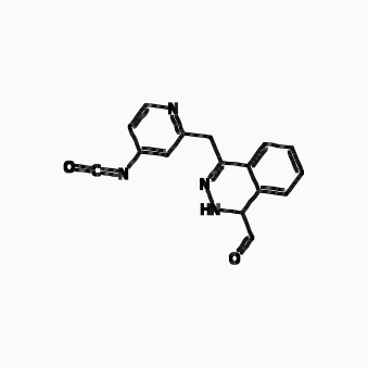 O=C=Nc1ccnc(CC2=NNC(C=O)c3ccccc32)c1